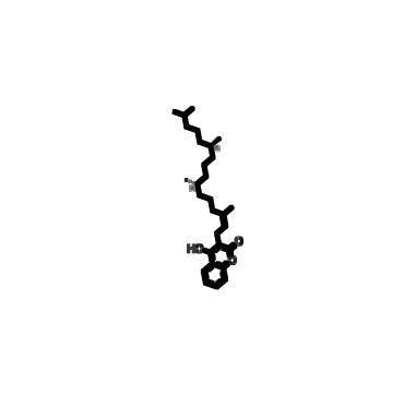 CC(=CCc1c(O)c2ccccc2oc1=O)CCC[C@H](C)CCC[C@H](C)CCCC(C)C